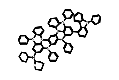 c1ccc(N2c3ccccc3B3c4cc5c(cc4N(c4ccccc4)c4cc(-c6cccc7c6c6ccccc6n7-c6ccccc6)cc2c43)N(c2ccccc2)c2cc(N(C3CCCCC3)C3CCCCC3)cc3c2B5c2ccccc2N3c2ccccc2)cc1